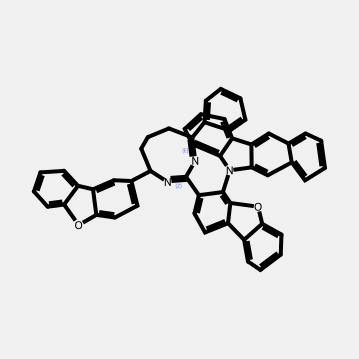 c1ccc(/C2=N/C(c3ccc4c(oc5ccccc54)c3-n3c4ccccc4c4cc5ccccc5cc43)=N\C(c3ccc4oc5ccccc5c4c3)CCC2)cc1